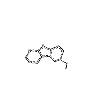 CCc1ccc2sc3ncccc3c2c1